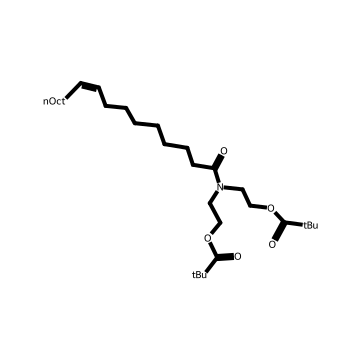 CCCCCCCC/C=C\CCCCCCCC(=O)N(CCOC(=O)C(C)(C)C)CCOC(=O)C(C)(C)C